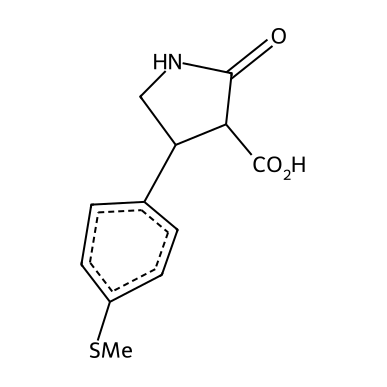 CSc1ccc(C2CNC(=O)C2C(=O)O)cc1